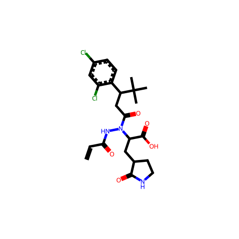 C=CC(=O)NN(C(=O)CC(c1ccc(Cl)cc1Cl)C(C)(C)C)C(CC1CCNC1=O)C(=O)O